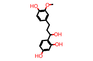 COc1cc(CCC(O)c2ccc(O)cc2O)ccc1O